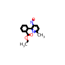 CCOC(=O)c1ccccc1-c1nc(C)ccc1N=O